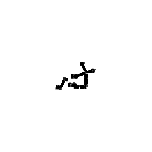 O=P([O-])([O-])O.[Ca+2].[Mn][Fe].[Na+].[OH-]